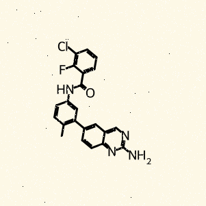 Cc1ccc(NC(=O)c2cccc(Cl)c2F)cc1-c1ccc2nc(N)ncc2c1